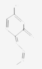 C/N=N\N=C1\N=CC(O)=NC1=N